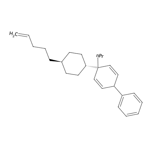 C=CCCC[C@H]1CC[C@H](C2(CCC)C=CC(c3ccccc3)C=C2)CC1